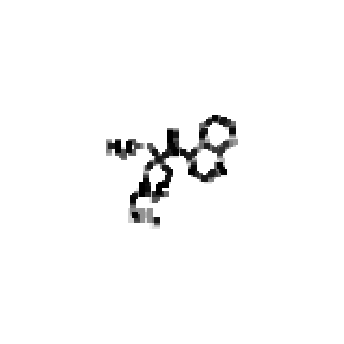 CCC(CC)(CCCN)Nc1ccnc2ccccc12